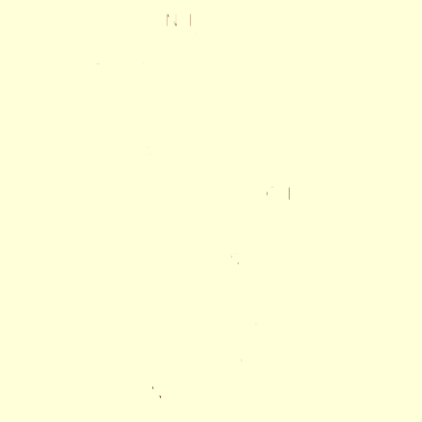 Cc1cc(C(N)=S)sc1-c1ccc2c(c1)C1(C=N2)CCCCC1=S